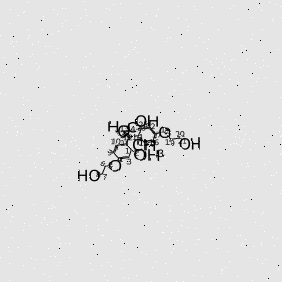 CC1(O)C=C(OCCO)C=CC1C(=O)C1C=CC(OCCO)=CC1(C)O